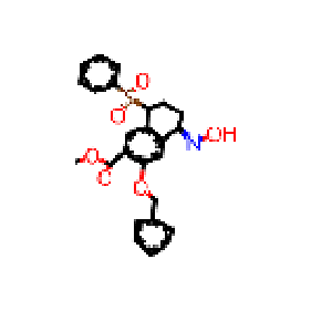 COC(=O)c1cc2c(cc1OCc1ccccc1)C(=NO)CCC2S(=O)(=O)c1ccccc1